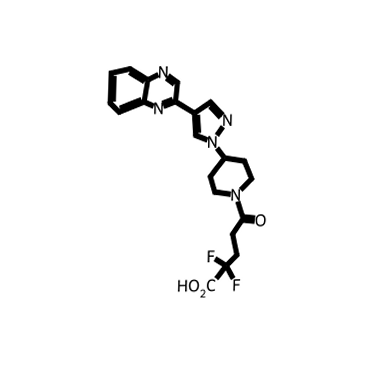 O=C(CCC(F)(F)C(=O)O)N1CCC(n2cc(-c3cnc4ccccc4n3)cn2)CC1